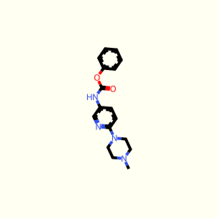 CN1CCN(c2ccc(NC(=O)Oc3ccccc3)cn2)CC1